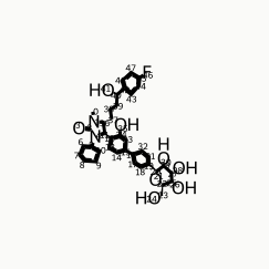 CN1C(=O)N(c2ccccc2)[C@H](c2ccc(-c3ccc([C@@H]4O[C@H](CO)[C@@H](O)[C@H](O)[C@H]4O)cc3)cc2O)[C@H]1CCC[C@@H](O)c1ccc(F)cc1